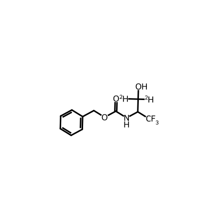 [2H]C([2H])(O)C(NC(=O)OCc1ccccc1)C(F)(F)F